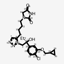 CC[C@@](O)(Cn1nncc1CCCCN1CC(=O)NC1=O)c1ccc(Cl)c(OCC2CC2)c1